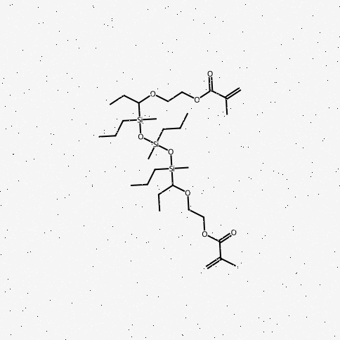 C=C(C)C(=O)OCCOC(CC)[Si](C)(CCC)O[Si](C)(CCC)O[Si](C)(CCC)C(CC)OCCOC(=O)C(=C)C